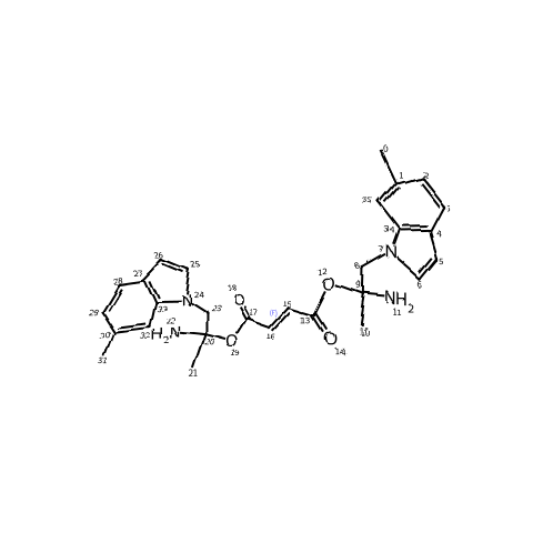 Cc1ccc2ccn(CC(C)(N)OC(=O)/C=C/C(=O)OC(C)(N)Cn3ccc4ccc(C)cc43)c2c1